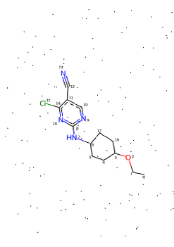 CCOC1CCC(Nc2ncc(C#N)c(Cl)n2)CC1